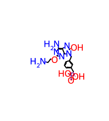 NCCOc1nc(N)c2nc(O)n(Cc3cccc(CP(=O)(O)O)c3)c2n1